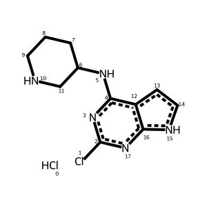 Cl.Clc1nc(NC2CCCNC2)c2cc[nH]c2n1